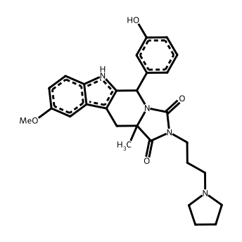 COc1ccc2[nH]c3c(c2c1)CC1(C)C(=O)N(CCCN2CCCC2)C(=O)N1C3c1cccc(O)c1